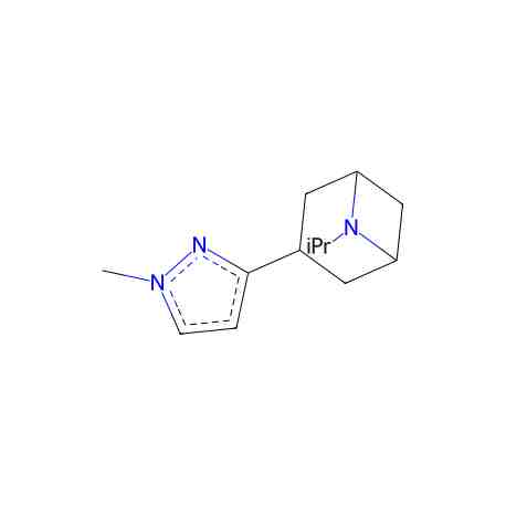 CC(C)N1C2CC(c3ccn(C)n3)CC1C2